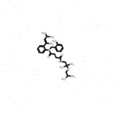 C/C(=C\C(C)C)c1ccccc1N(Cc1ccccc1C)C(=O)CCC(=O)NCC(C)(C)OCC(C)C